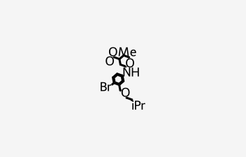 COC(=O)C1CCOC(Nc2ccc(Br)c(COCCC(C)C)c2)C1